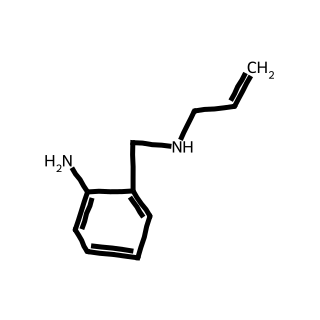 C=CCNCc1ccccc1N